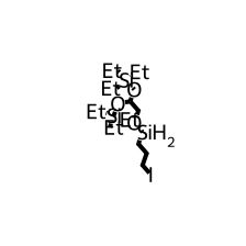 CC[Si](CC)(CC)OC(CO[SiH2]CCCI)O[Si](CC)(CC)CC